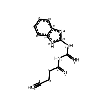 C#CCCC(=O)NC(=N)Nc1nc2ccccc2[nH]1